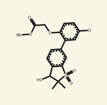 CC(C)(C)OC(=O)COc1ccc(Cl)cc1-c1ccc2c(c1)S(=O)(=O)C(C)(C)C2O